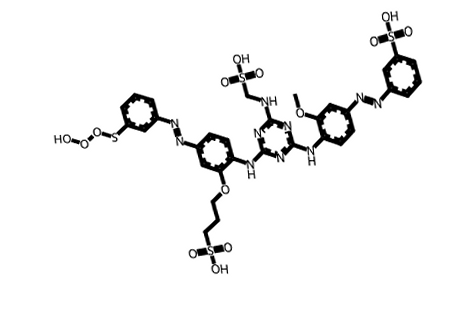 COc1cc(N=Nc2cccc(S(=O)(=O)O)c2)ccc1Nc1nc(NCS(=O)(=O)O)nc(Nc2ccc(N=Nc3cccc(SOOO)c3)cc2OCCCS(=O)(=O)O)n1